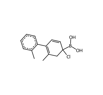 CC1=C(c2ccccc2C)C=CC(Cl)(B(O)O)C1